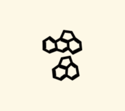 c1cc2c3c(cccc3c1)CC2.c1ccc2c3c4c(cccc4cc2c1)CC3